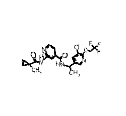 CC(NC(=O)c1ccnc(NC(=O)C2(C)CC2)c1)c1cnc(OCC(F)(F)F)c(Cl)c1